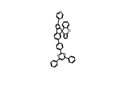 c1ccc(-c2cc(-c3ccccc3)nc(-c3ccc(-c4ccc5c(c4)C4(c6ccccc6Oc6ccccc64)c4cc(-c6ccncc6)ccc4-5)cc3)n2)cc1